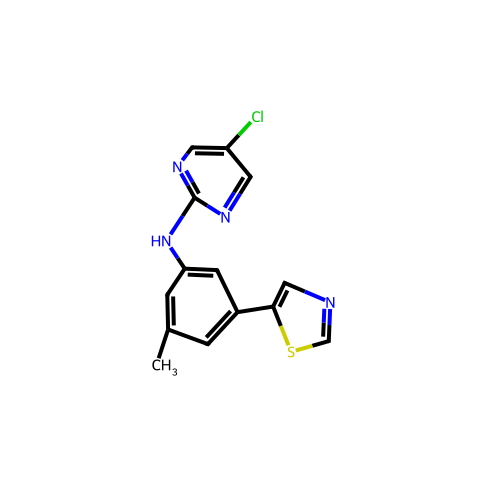 Cc1cc(Nc2ncc(Cl)cn2)cc(-c2cncs2)c1